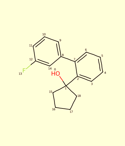 OC1(c2ccccc2-c2cccc(F)c2)CCCC1